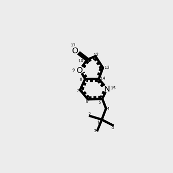 CC(C)(C)Cc1ccc2oc(=O)ccc2n1